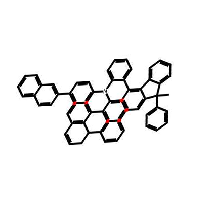 CC1(c2ccccc2)c2ccccc2-c2c(-c3ccccc3N(c3ccc(-c4ccc5ccccc5c4)cc3)c3ccccc3-c3cccc4c3C(c3ccccc3)CC=C4)cccc21